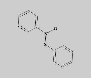 [O-][S+](Sc1ccccc1)c1ccccc1